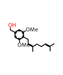 COc1cc(CO)cc(OC)c1CC=C(C)CCC=C(C)C